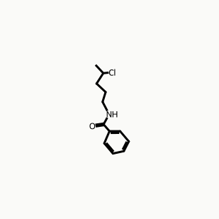 CC(Cl)CCCNC(=O)c1ccccc1